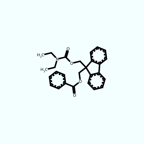 CCN(CC)C(=O)OCC1(COC(=O)c2ccccc2)c2ccccc2-c2ccccc21